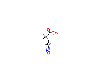 CO/N=C/C(C)=C/C1C(C(=O)O)C1(C)C